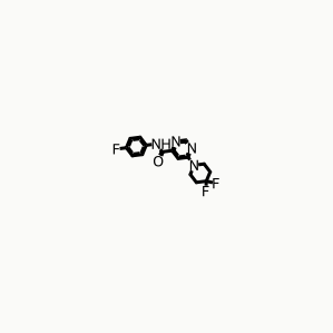 O=C(Nc1ccc(F)cc1)c1cc(N2CCC(F)(F)CC2)ncn1